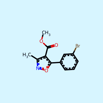 COC(=O)c1c(C)noc1-c1cccc(Br)c1